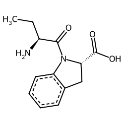 CC[C@H](N)C(=O)N1c2ccccc2C[C@H]1C(=O)O